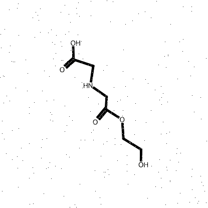 O=C(O)CNCC(=O)OCCO